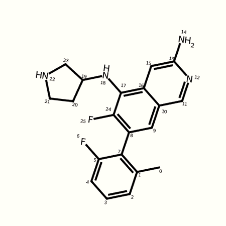 Cc1cccc(F)c1-c1cc2cnc(N)cc2c(NC2CCNC2)c1F